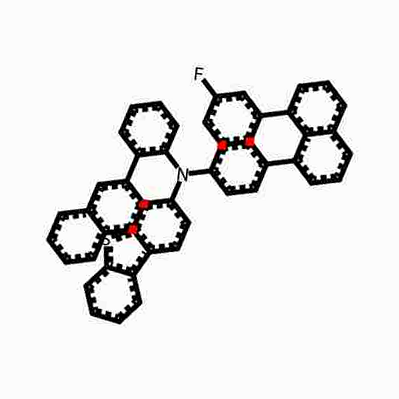 Fc1cccc(-c2cccc3cccc(-c4ccc(N(c5ccc6c(c5)sc5ccccc56)c5ccccc5-c5ccc6ccccc6c5)cc4)c23)c1